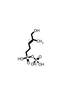 C/C(=C\CCP(=O)(O)OP(=O)(O)O)CO